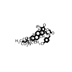 CC(C)C1=C2[C@H]3CC[C@@H]4[C@@]5(C)CC[C@H](OC(=O)CC(C)(C)C(=O)O)C(C)(C)[C@@H]5CC[C@@]4(C)[C@]3(C)CC[C@@]2(C2CN(Cc3ccc(Cl)cc3)C(=O)CO2)CC1=O